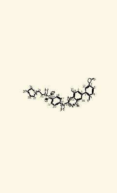 COc1ccc(C)c(-c2cc(C)c3nc(Nc4ccc(S(=O)(=O)NCCN5CCCC5)cc4)nnc3c2)c1